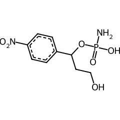 NP(=O)(O)OC(CCO)c1ccc([N+](=O)[O-])cc1